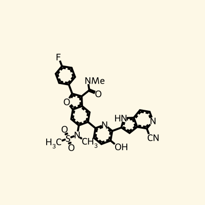 CNC(=O)c1c(-c2ccc(F)cc2)oc2cc(N(C)S(C)(=O)=O)c(-c3ccc(O)c(-c4cc5c(C#N)nccc5[nH]4)n3)cc12